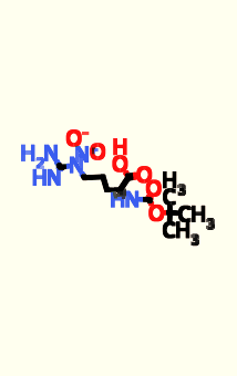 CC(C)(C)OC(=O)N[C@@H](CCCN(C(=N)N)[N+](=O)[O-])C(=O)O